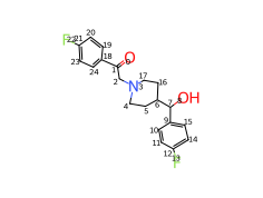 O=C(CN1CCC(C(O)c2ccc(F)cc2)CC1)c1ccc(F)cc1